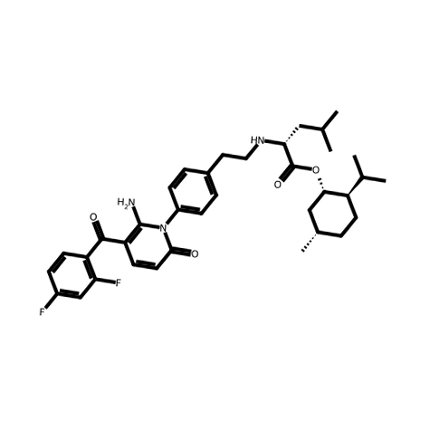 CC(C)C[C@@H](NCCc1ccc(-n2c(N)c(C(=O)c3ccc(F)cc3F)ccc2=O)cc1)C(=O)O[C@H]1C[C@@H](C)CC[C@@H]1C(C)C